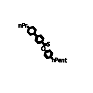 CCCCCc1ccc(OC(=S)c2ccc(C3CCC(CCC)CC3)cc2)cc1